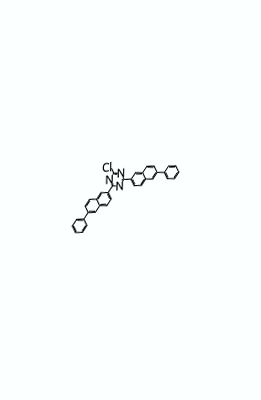 Clc1nc(-c2ccc3cc(-c4ccccc4)ccc3c2)nc(-c2ccc3cc(-c4ccccc4)ccc3c2)n1